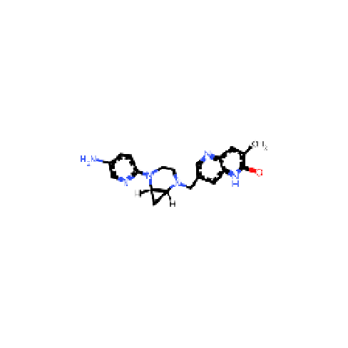 Cc1cc2ncc(CN3CCN(c4ccc(N)cn4)[C@H]4C[C@H]43)cc2[nH]c1=O